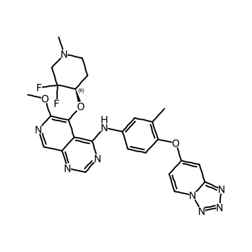 COc1ncc2ncnc(Nc3ccc(Oc4ccn5nnnc5c4)c(C)c3)c2c1O[C@@H]1CCN(C)CC1(F)F